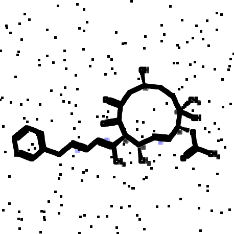 CC(=O)O[C@@H]1/C=C/[C@H](C)[C@@H](/C(C)=C/C=C/Cc2cccnc2)C(=O)C(=O)C[C@H](O)CC[C@@]1(C)O